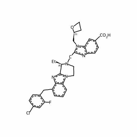 CC[C@@H]1c2nc3c(Cc4ccc(Cl)cc4F)cccc3n2CCN1Cc1nc2ccc(C(=O)O)cc2n1C[C@@H]1CCO1